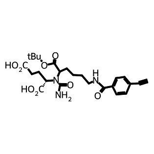 C#Cc1ccc(C(=O)NCCCCC(C(=O)OC(C)(C)C)N(C(N)=O)[C@@H](CCC(=O)O)C(=O)O)cc1